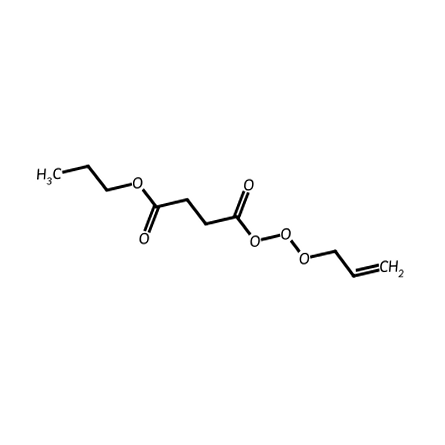 C=CCOOOC(=O)CCC(=O)OCCC